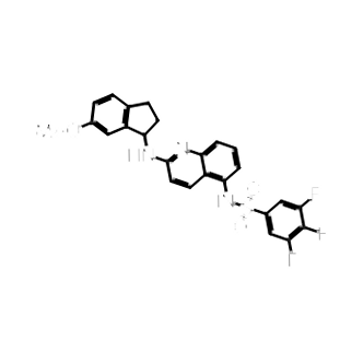 COc1ccc2c(c1)C(Nc1ccc3c(NS(=O)(=O)c4cc(F)c(F)c(F)c4)cccc3n1)CC2